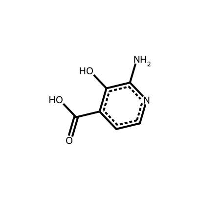 Nc1nccc(C(=O)O)c1O